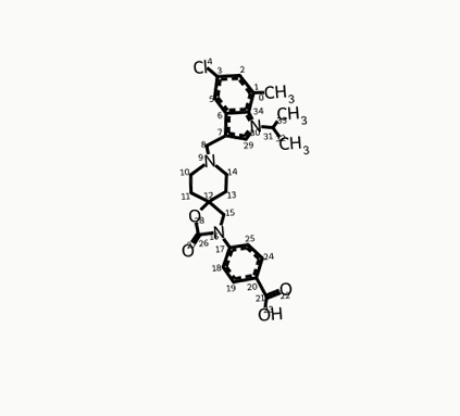 Cc1cc(Cl)cc2c(CN3CCC4(CC3)CN(c3ccc(C(=O)O)cc3)C(=O)O4)cn(C(C)C)c12